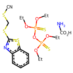 CCOP(=S)(OCC)OP(=S)(OCC)OCC.N#CSCSc1nc2ccccc2s1.NC(=O)O